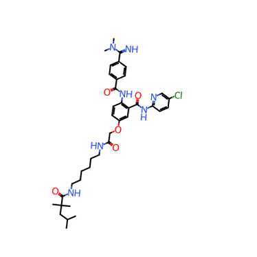 CC(C)CC(C)(C)C(=O)NCCCCCCNC(=O)COc1ccc(NC(=O)c2ccc(C(=N)N(C)C)cc2)c(C(=O)Nc2ccc(Cl)cn2)c1